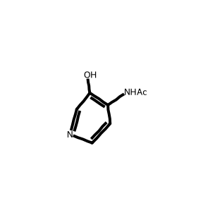 CC(=O)Nc1ccncc1O